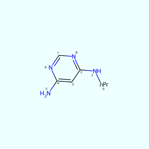 CCCNc1cc(N)ncn1